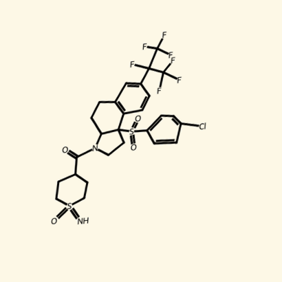 N=S1(=O)CCC(C(=O)N2CCC3(S(=O)(=O)c4ccc(Cl)cc4)c4ccc(C(F)(C(F)(F)F)C(F)(F)F)cc4CCC23)CC1